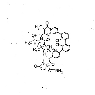 COc1nc(-c2cccc(-c3cccc(-c4ccn5c(=O)c(C)c(CN(CC(C)O)C(=O)OC(C)(C)C)nc5c4)c3Cl)c2Cl)ccc1CC(OC(N)=O)[C@@H]1CCC(=O)N1